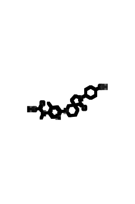 Cc1cc(N2CCCC3(CCN(C4CCC(O)CC4)C3=O)C2)ncc1N(C)C(=O)O